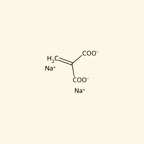 C=C(C(=O)[O-])C(=O)[O-].[Na+].[Na+]